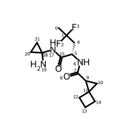 CC(F)(F)C[C@H](NC(=O)C1CC12CCC2)C(=O)NC1(N)CC1